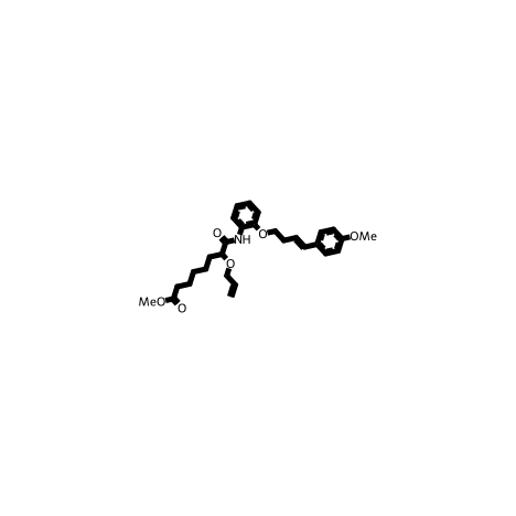 C=CCOC(CCCCCC(=O)OC)C(=O)Nc1ccccc1OCCC=Cc1ccc(OC)cc1